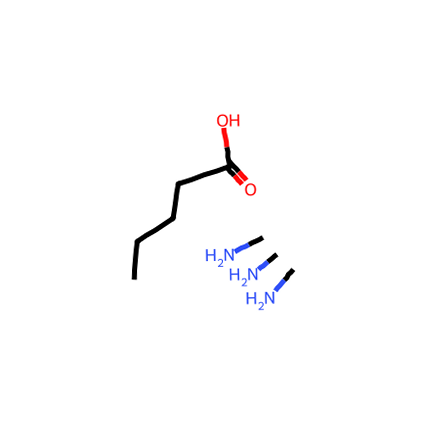 CCCCC(=O)O.CN.CN.CN